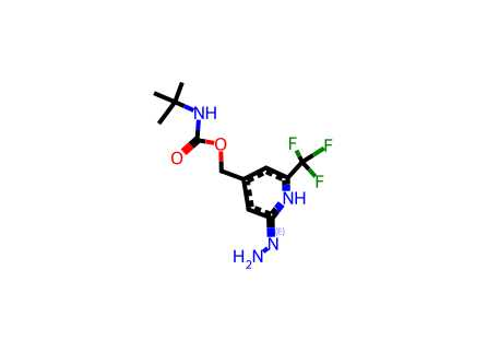 CC(C)(C)NC(=O)OCc1cc(C(F)(F)F)[nH]/c(=N/N)c1